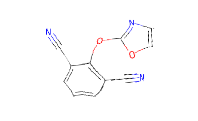 N#Cc1cccc(C#N)c1Oc1n[c]co1